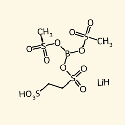 CS(=O)(=O)OB(OS(C)(=O)=O)OS(=O)(=O)CCS(=O)(=O)O.[LiH]